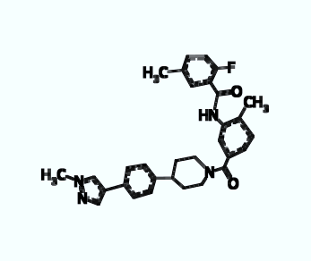 Cc1ccc(F)c(C(=O)Nc2cc(C(=O)N3CCC(c4ccc(-c5cnn(C)c5)cc4)CC3)ccc2C)c1